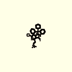 CN(C)C=Cc1nc(Cl)cc2c1c(I)nn2C(c1ccccc1)(c1ccccc1)c1ccccc1